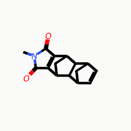 CN1C(=O)C2=C(C1=O)C1CC2C2C3C=CC(C3)C12